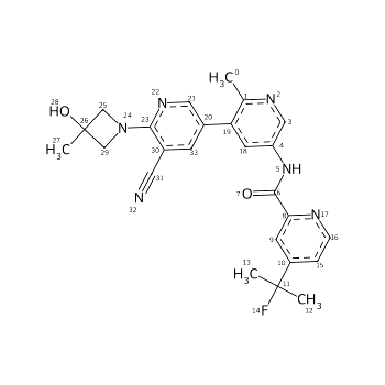 Cc1ncc(NC(=O)c2cc(C(C)(C)F)ccn2)cc1-c1cnc(N2CC(C)(O)C2)c(C#N)c1